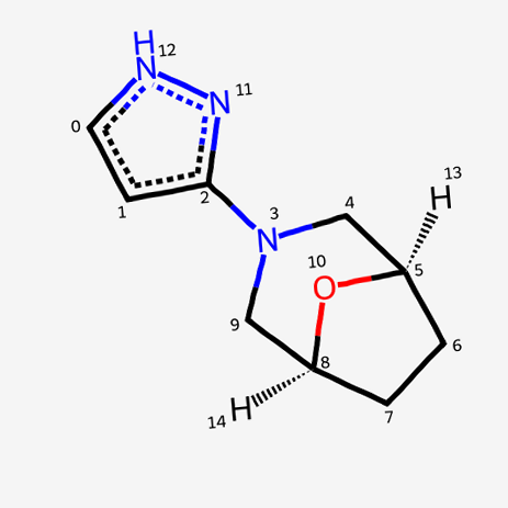 c1cc(N2C[C@H]3CC[C@@H](C2)O3)n[nH]1